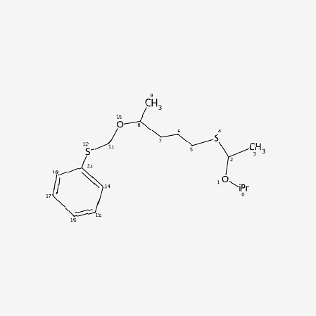 CC(C)OC(C)SCCCC(C)OCSc1ccccc1